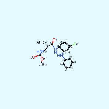 COC(CNC(=O)OC(C)(C)C)C(=O)Nc1ccc(F)cc1Nc1ccccc1